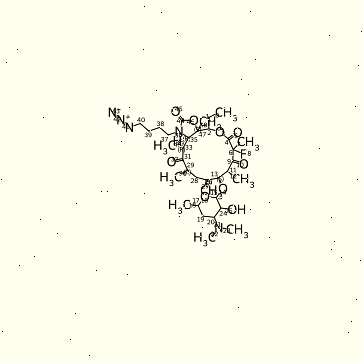 CCC1OC(=O)C(C)(F)C(=O)C(C)[C@@H](OC2OC(C)CC(N(C)C)C2O)[C@@H](C)C[C@@H](C)C(=O)[C@H](C)[C@H]2N(CCCCN=[N+]=[N-])C(=O)O[C@]12C